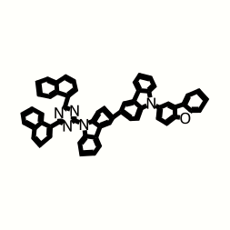 c1ccc2c(-c3nc(-c4cccc5ccccc45)nc(-n4c5ccccc5c5cc(-c6ccc7c(c6)c6ccccc6n7-c6ccc7oc8ccccc8c7c6)ccc54)n3)cccc2c1